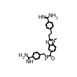 CN(Cc1ccc(C(=N)N)cc1)C(=O)c1ccc2c(c1)nc(CCc1ccc(C(=N)N)cc1)n2C